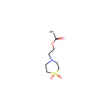 CCCC(=O)OCCN1CCS(=O)(=O)CC1